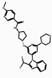 COc1ccc(C(=O)N[C@H]2CC[C@H](Oc3cc(-n4c(C(F)F)nc5ccccc54)nc(N4CCOCC4)n3)C2)cn1